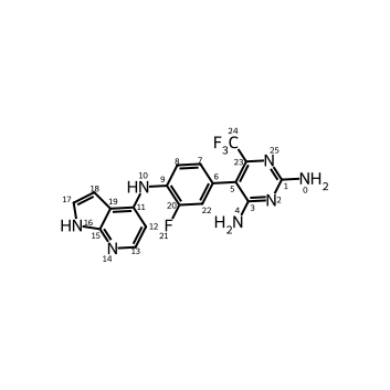 Nc1nc(N)c(-c2ccc(Nc3ccnc4[nH]ccc34)c(F)c2)c(C(F)(F)F)n1